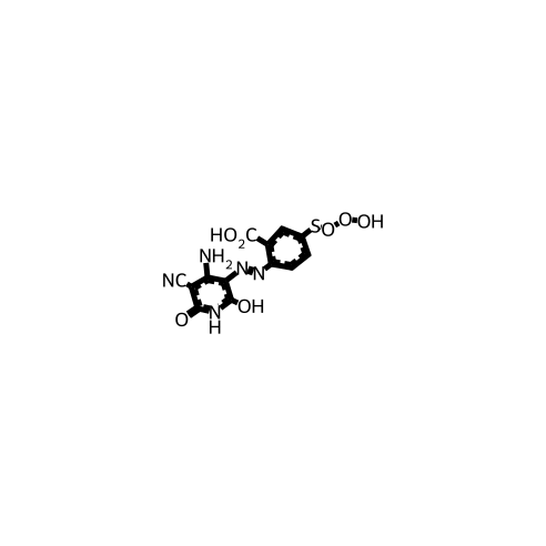 N#Cc1c(N)c(/N=N/c2ccc(SOOO)cc2C(=O)O)c(O)[nH]c1=O